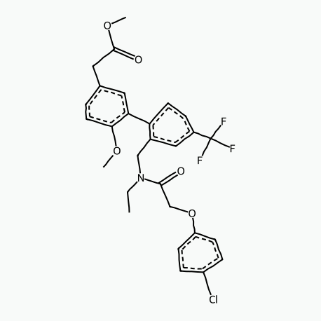 CCN(Cc1cc(C(F)(F)F)ccc1-c1cc(CC(=O)OC)ccc1OC)C(=O)COc1ccc(Cl)cc1